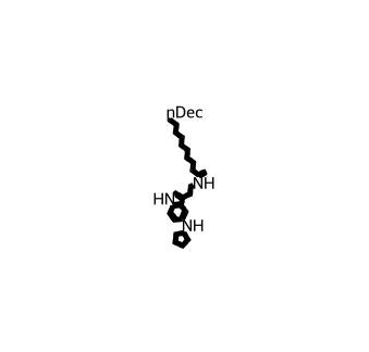 C=C(CCCCCCCCCCCCCCCCCCC)NCCc1c[nH]c2ccc(NC3CCCC3)cc12